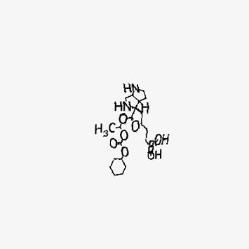 CC(OC(=O)OC1CCCCC1)OC(=O)[C@]1(CCCCB(O)O)NCC2NCC[C@@H]21